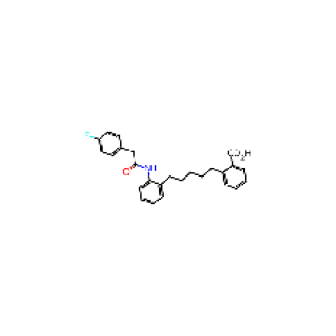 O=C(Cc1ccc(F)cc1)Nc1ccccc1CCCCCc1ccccc1C(=O)O